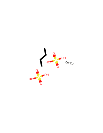 CCCC.O=S(=O)(O)O.O=S(=O)(O)O.[Cu].[Cu]